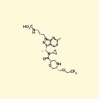 Cc1ccc2c([C@@H](C)N(C(=O)[C@H]3CN[C@H](COCC(F)(F)F)CO3)C3CC3)nn(CCCNC(=O)O)c2n1